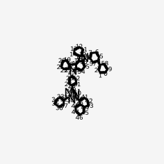 c1ccc(-c2cccc(-n3c4ccccc4c4c5c6ccccc6n(-c6ccc(-c7nc(-c8ccccc8)nc(-c8cccc9ccccc89)n7)cc6)c5ccc43)c2)cc1